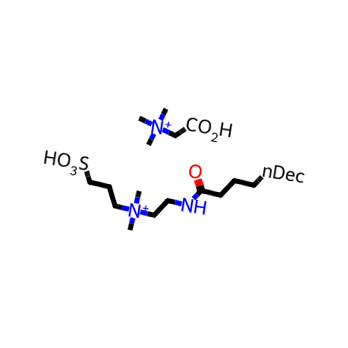 CCCCCCCCCCCCCC(=O)NCC[N+](C)(C)CCCS(=O)(=O)O.C[N+](C)(C)CC(=O)O